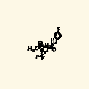 CS(=O)(=O)N[C@H](COC(F)F)C(=O)NCc1ccc(F)cc1